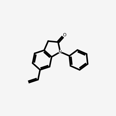 C=Cc1ccc2c(c1)N(c1ccccc1)C(=O)C2